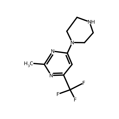 Cc1nc(N2CCNCC2)cc(C(F)(F)F)n1